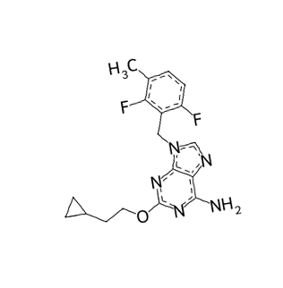 Cc1ccc(F)c(Cn2cnc3c(N)nc(OCCC4CC4)nc32)c1F